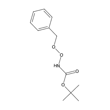 CC(C)(C)OC(=O)NOOCc1ccccc1